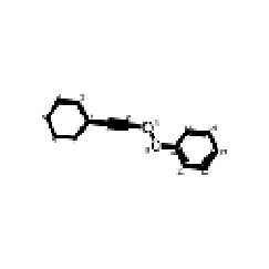 C(#CC1CCCCC1)OOc1ccccc1